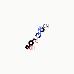 N#Cc1ccc(N2CCN(C(=O)Cc3ccc(C4(O)CCC4)cc3)CC2)nn1